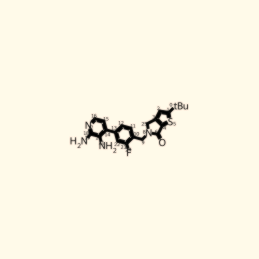 CC(C)(C)c1cc2c(s1)C(=O)N(Cc1ccc(-c3ccnc(N)c3N)cc1F)C2